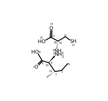 CC[C@H](C)[C@H](N)C(=O)O.N[C@@H](CS)C(=O)O